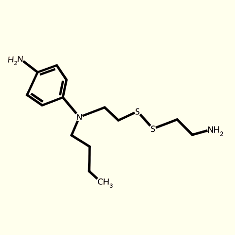 CCCCN(CCSSCCN)c1ccc(N)cc1